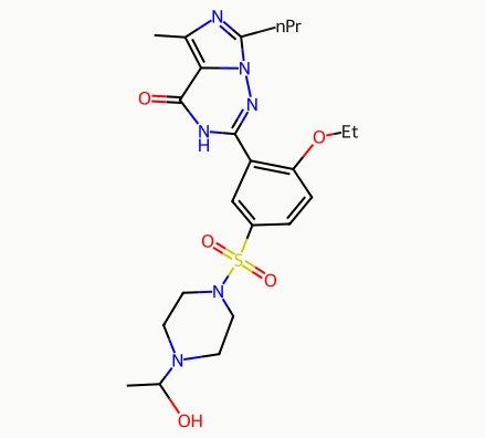 CCCc1nc(C)c2c(=O)[nH]c(-c3cc(S(=O)(=O)N4CCN(C(C)O)CC4)ccc3OCC)nn12